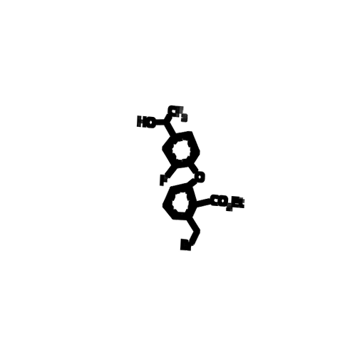 CCOC(=O)c1c(CBr)cccc1Oc1ccc(C(O)C(F)(F)F)cc1F